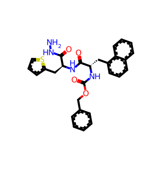 NNC(=O)[C@H](Cc1cccs1)NC(=O)[C@H](Cc1cccc2ccccc12)NC(=O)OCc1ccccc1